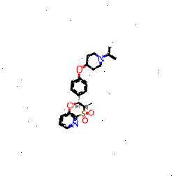 CC(C)N1CCC(Oc2ccc([C@H]3Oc4cccnc4S(=O)(=O)[C@@H]3C)cc2)CC1